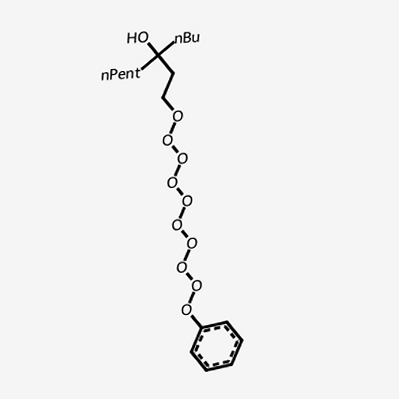 CCCCCC(O)(CCCC)CCOOOOOOOOOOc1ccccc1